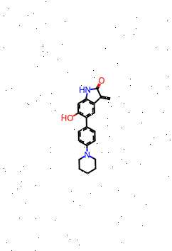 C=C1C(=O)Nc2cc(O)c(-c3ccc(N4CCCCC4)cc3)cc21